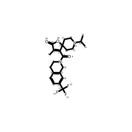 CC1=C(C(=O)N2CCc3ccc(C(F)(F)F)cc3C2)C2(CCN(C(C)C)CC2)OC1=O